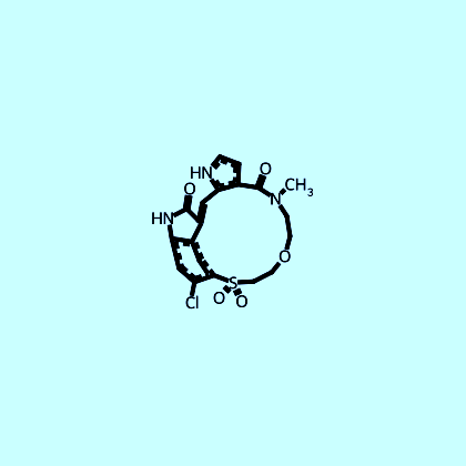 CN1CCOCCS(=O)(=O)c2cc3c(cc2Cl)NC(=O)/C3=C\c2[nH]ccc2C1=O